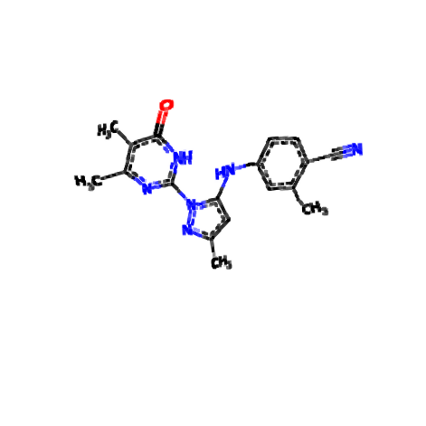 Cc1cc(Nc2ccc(C#N)c(C)c2)n(-c2nc(C)c(C)c(=O)[nH]2)n1